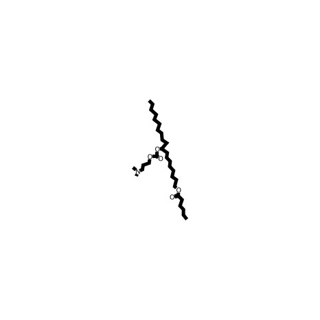 CCCCCCCCCCC(CCCCCCCCOC(=O)CCCCC)OC(=O)OCCCN(C)C